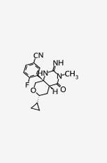 CN1C(=N)N[C@@]2(c3cc(C#N)ccc3F)CO[C@@H](C3CC3)C[C@H]2C1=O